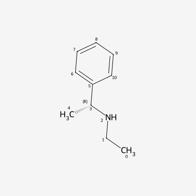 CCN[C@H](C)c1ccccc1